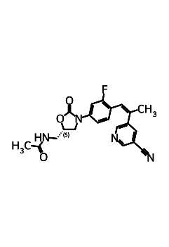 CC(=O)NC[C@H]1CN(c2ccc(C=C(C)c3cncc(C#N)c3)c(F)c2)C(=O)O1